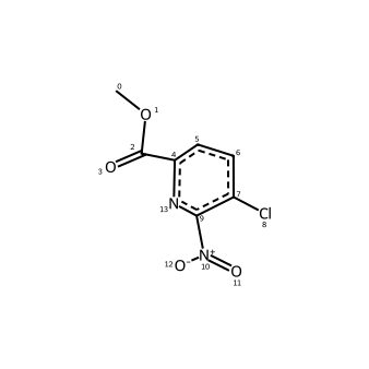 COC(=O)c1ccc(Cl)c([N+](=O)[O-])n1